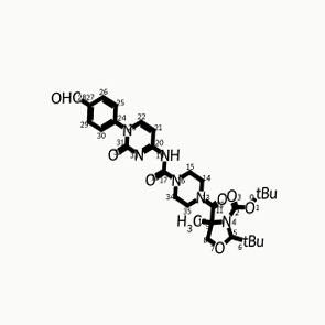 CC(C)(C)OC(=O)N1C(C(C)(C)C)OCC1(C)C(=O)N1CCN(C(=O)Nc2ccn(-c3ccc(C=O)cc3)c(=O)n2)CC1